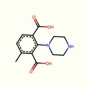 Cc1ccc(C(=O)O)c(N2CCNCC2)c1C(=O)O